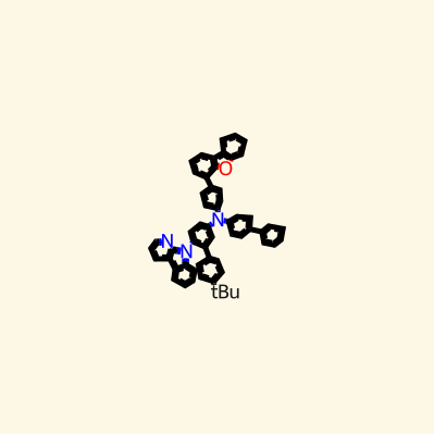 CC(C)(C)c1ccc(-c2cc(N(c3ccc(-c4ccccc4)cc3)c3ccc(-c4cccc5c4oc4ccccc45)cc3)ccc2-n2c3ccccc3c3cccnc32)cc1